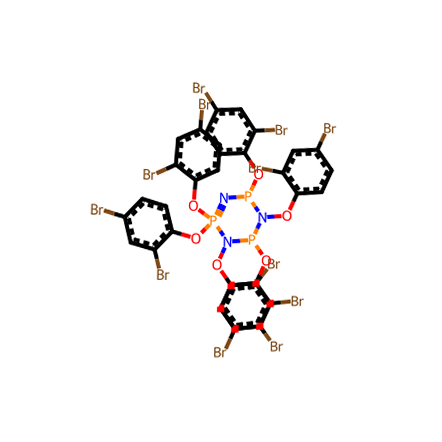 Brc1ccc(ON2P(Oc3ccc(Br)cc3Br)N=P(Oc3ccc(Br)cc3Br)(Oc3ccc(Br)cc3Br)N(Oc3ccc(Br)cc3Br)P2Oc2ccc(Br)cc2Br)c(Br)c1